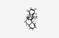 CCCCCN1CCC2C=CC=CC2C1=Cc1ccccc1